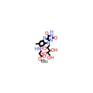 Cc1cc2nc3c(=O)[nH]c(=O)nc-3n(C[C@H](O)[C@H](O)[C@H](O)CO)c2cc1NCCC(=O)OC(C)(C)C